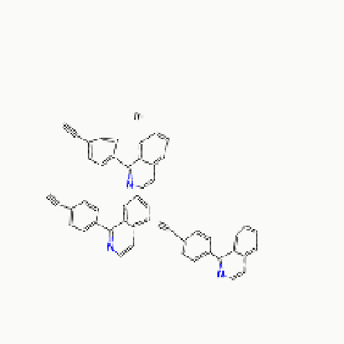 C#Cc1ccc(-c2nccc3ccccc23)cc1.C#Cc1ccc(-c2nccc3ccccc23)cc1.C#Cc1ccc(-c2nccc3ccccc23)cc1.[Ir]